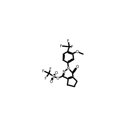 COc1cc(-n2nc(OS(=O)(=O)C(F)(F)F)c3c(c2=O)CCC3)ccc1C(F)(F)F